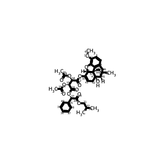 COc1ccc2c3c1O[C@H]1C(OC(=O)[C@H](OC(C)=O)[C@@H](OC(C)=O)C(=O)O[C@H](C(=O)OCC(C)C)c4ccccc4)=CC[C@@]4(O)[C@@H](C2)N(C)CC[C@]314